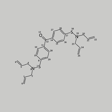 C=CCN(CC=C)Sc1ccc(C(=O)c2ccc(SN(CC=C)CC=C)cc2)cc1